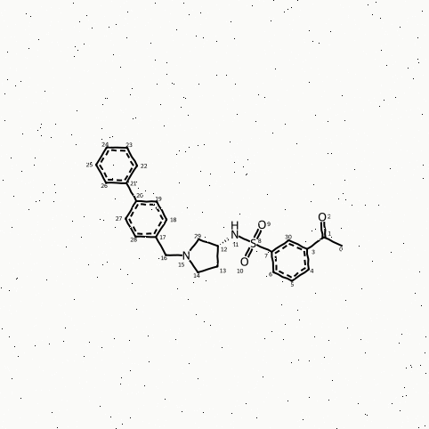 CC(=O)c1cccc(S(=O)(=O)N[C@@H]2CCN(Cc3ccc(-c4ccccc4)cc3)C2)c1